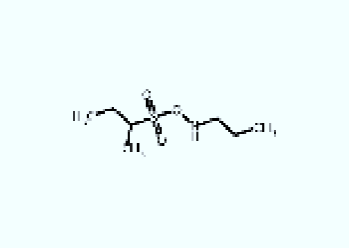 CCCNOS(=O)(=O)C(C)CC